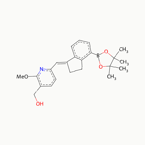 COc1nc(C=C2CCc3c(B4OC(C)(C)C(C)(C)O4)cccc32)ccc1CO